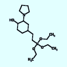 CCO[Si](CCC1CCC(O)C(N2CCCC2)C1)(OCC)OCC